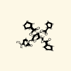 O=C(OC[C@H]1O[C@@H](n2ccc(NO)nc2=O)[C@H](OC(=O)C2CCCC2)[C@@H]1OC(=O)C1CCCC1)C1CCCC1